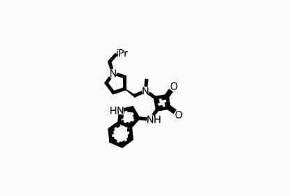 CC(C)CN1CC[C@H](CN(C)c2c(Nc3c[nH]c4ccccc34)c(=O)c2=O)C1